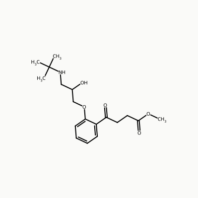 COC(=O)CCC(=O)c1ccccc1OCC(O)CNC(C)(C)C